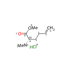 C=CCC[C@H](NC)C(=O)OC.Cl